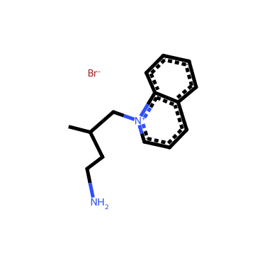 CC(CCN)C[n+]1cccc2ccccc21.[Br-]